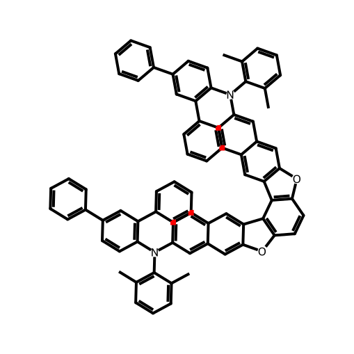 Cc1cccc(C)c1N(c1ccc2cc3c(cc2c1)oc1ccc2oc4cc5cc(N(c6ccc(-c7ccccc7)cc6-c6ccccc6)c6c(C)cccc6C)ccc5cc4c2c13)c1ccc(-c2ccccc2)cc1-c1ccccc1